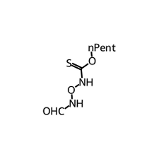 CCCCCOC(=S)NONC=O